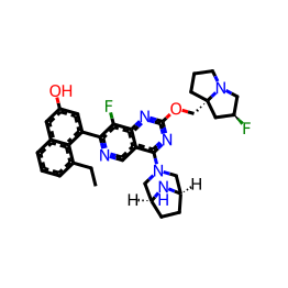 CCc1cccc2cc(O)cc(-c3ncc4c(N5C[C@H]6CC[C@@H](C5)N6)nc(OC[C@]56CCCN5C[C@@H](F)C6)nc4c3F)c12